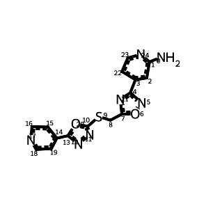 Nc1cc(-c2noc(CSc3nnc(-c4ccncc4)o3)n2)ccn1